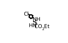 CCOC(=O)NSCNc1ccc(Cl)cc1